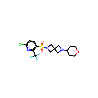 O=S(=O)(c1ccc(Cl)nc1C(F)(F)F)N1CC2(CN(C3CCOCC3)C2)C1